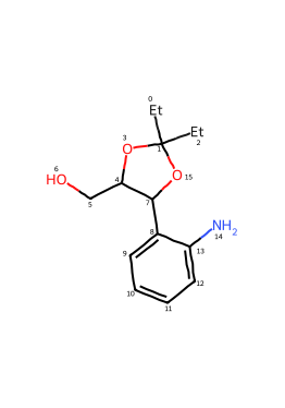 CCC1(CC)OC(CO)C(c2ccccc2N)O1